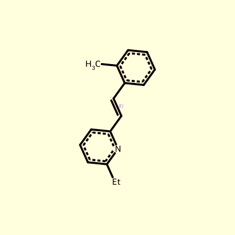 CCc1cccc(/C=C/c2ccccc2C)n1